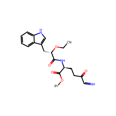 CC(C)OC(=O)[C@H](CCC(=O)C=N)NC(=O)[C@H](Cc1c[nH]c2ccccc12)OCC#N